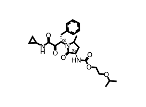 CC(C)OCCOC(=O)N[C@H]1CC(C)N([C@@H](Cc2ccccc2)C(=O)C(=O)NC2CC2)C1=O